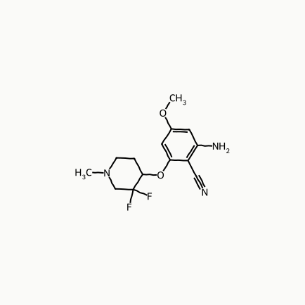 COc1cc(N)c(C#N)c(OC2CCN(C)CC2(F)F)c1